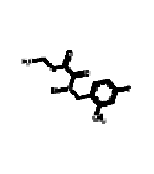 CCN(Cc1ccc(F)cc1C)C(=O)C(=O)OCC(F)(F)F